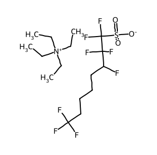 CC[N+](CC)(CC)CC.O=S(=O)([O-])C(F)(F)C(F)(F)C(F)CCCCC(F)(F)F